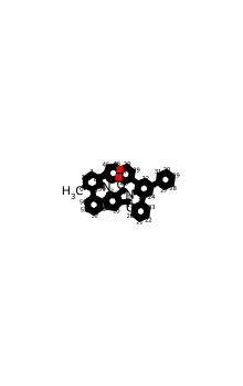 CC1C=Cc2c(n(-c3cccc4c3C(=O)N(c3c(-c5ccccc5)cc(-c5ccccc5)cc3-c3ccccc3)C4=O)c3ccccc23)C1c1ccccc1